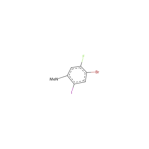 CNc1cc(F)c(Br)cc1I